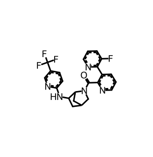 O=C(c1ncccc1-c1ncccc1F)N1CC2CC(Nc3ccc(C(F)(F)F)cn3)C1C2